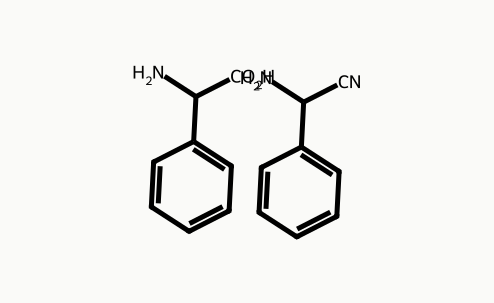 N#CC(N)c1ccccc1.NC(C(=O)O)c1ccccc1